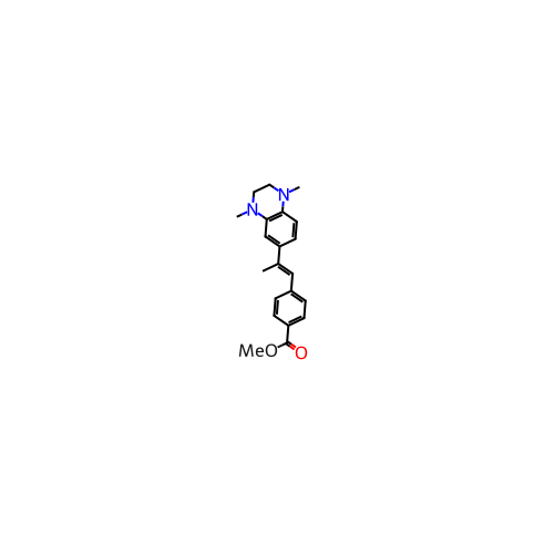 COC(=O)c1ccc(C=C(C)c2ccc3c(c2)N(C)CCN3C)cc1